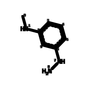 CNc1cccc(NN)c1